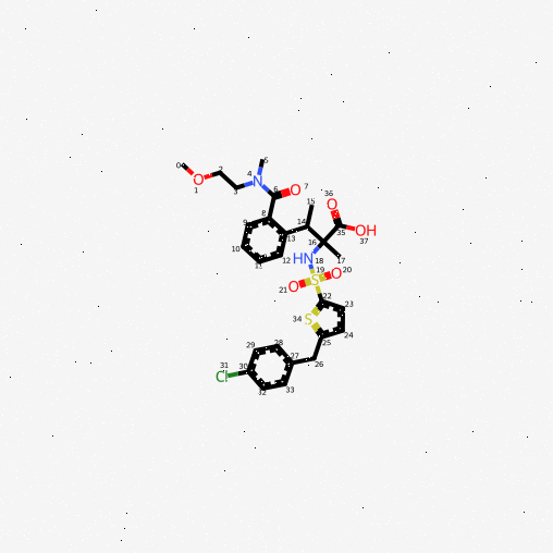 COCCN(C)C(=O)c1ccccc1C(C)C(C)(NS(=O)(=O)c1ccc(Cc2ccc(Cl)cc2)s1)C(=O)O